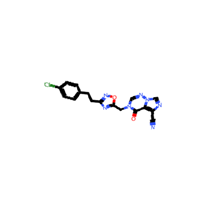 N#Cc1ncn2ncn(Cc3nc(CCc4ccc(Cl)cc4)no3)c(=O)c12